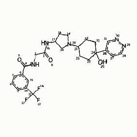 O=C(CNC(=O)c1cccc(C(F)(F)F)c1)NC1CCN(C2CCC(O)(c3ccnnc3)CC2)C1